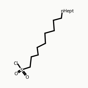 CCCCCCCCCCCCCCCCS(=O)(=O)Cl